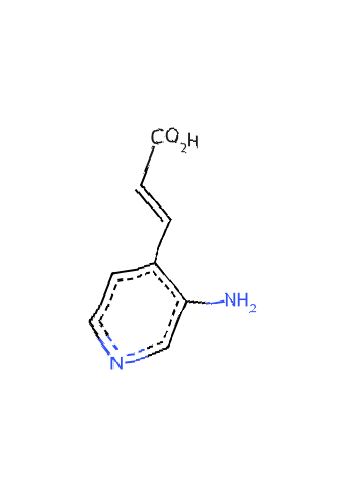 Nc1cnccc1/C=C/C(=O)O